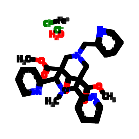 COC(=O)C12CN(Cc3ccccn3)CC(C(=O)OC)(C1=O)C(c1ccccn1)N(C)C2c1ccccn1.O.[Cl-].[Cl][Fe+]